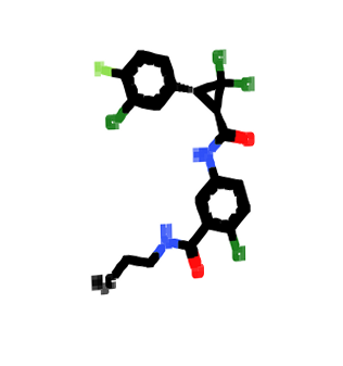 CCCNC(=O)c1cc(NC(=O)[C@H]2[C@H](c3ccc(F)c(Cl)c3)C2(Cl)Cl)ccc1Cl